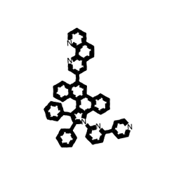 c1ccc(-c2c(-c3ccccc3)n(-c3cccc(-c4ccncc4)n3)c3c4ccccc4c4cc(-c5cnc6c(ccc7cccnc76)c5)c5ccccc5c4c23)cc1